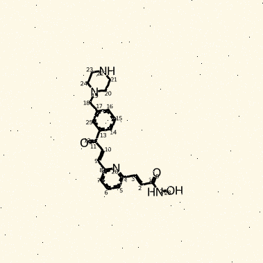 O=C(/C=C/c1cccc(/C=C/C(=O)c2cccc(CN3CCNCC3)c2)n1)NO